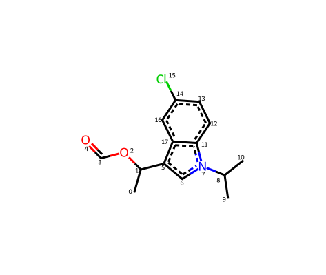 CC(OC=O)c1cn(C(C)C)c2ccc(Cl)cc12